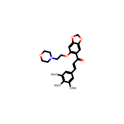 COc1cc(C=CC(=O)c2cc3c(cc2OCCN2CCOCC2)OCO3)cc(OC)c1OC